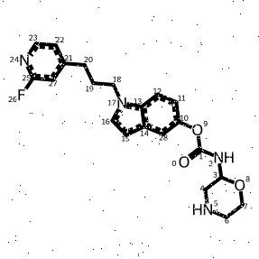 O=C(NC1CNCCO1)Oc1ccc2c(ccn2CCCc2ccnc(F)c2)c1